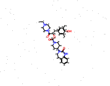 CCN1CCN(C(=O)[C@@H](Cc2cc(C)c(O)c(C)c2)OC(=O)N2CCC(N3CCc4ccccc4NC3=O)CC2)CC1